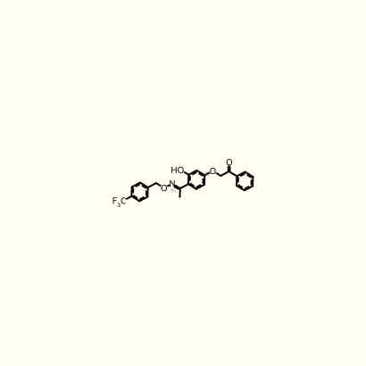 C/C(=N\OCc1ccc(C(F)(F)F)cc1)c1ccc(OCC(=O)c2ccccc2)cc1O